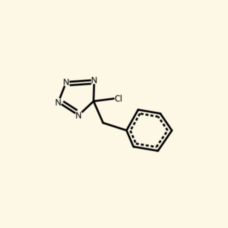 ClC1(Cc2ccccc2)N=NN=N1